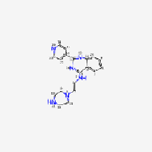 c1ccc2c(NCCN3CCNCC3)nc(-c3ccncc3)nc2c1